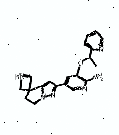 CC(Oc1cc(-c2cc3n(n2)CCC32CNC2)cnc1N)c1ccccn1